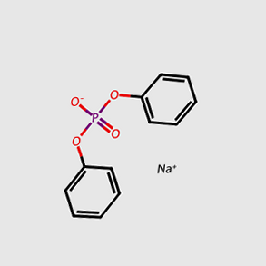 O=P([O-])(Oc1ccccc1)Oc1ccccc1.[Na+]